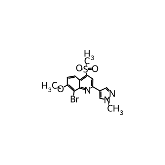 COc1ccc2c(S(C)(=O)=O)cc(-c3cnn(C)c3)nc2c1Br